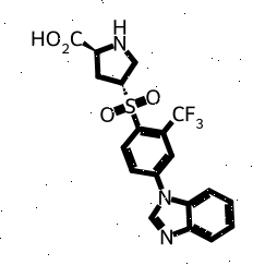 O=C(O)[C@@H]1C[C@@H](S(=O)(=O)c2ccc(-n3cnc4ccccc43)cc2C(F)(F)F)CN1